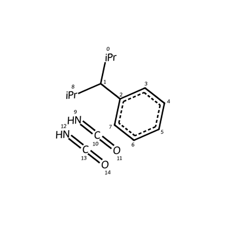 CC(C)C(c1ccccc1)C(C)C.N=C=O.N=C=O